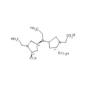 O=C(O)CN1CC(N(CC(=O)O)[C@H]2C[C@@H](C(=O)O)N(CC(=O)O)C2)C[C@H]1C(=O)O